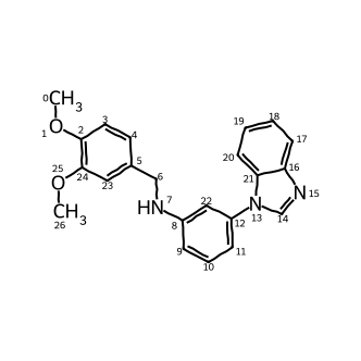 COc1ccc(CNc2cccc(-n3cnc4ccccc43)c2)cc1OC